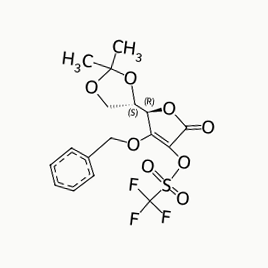 CC1(C)OC[C@@H]([C@H]2OC(=O)C(OS(=O)(=O)C(F)(F)F)=C2OCc2ccccc2)O1